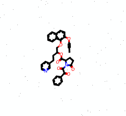 CC#COc1ccc2ccccc2c1OCC(CCc1cccnc1)OC(=O)C1CCC(=O)N1C(=O)C(=O)c1ccccc1